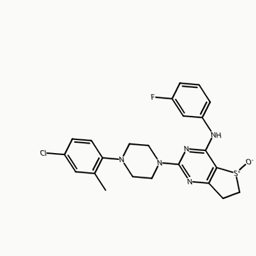 Cc1cc(Cl)ccc1N1CCN(c2nc3c(c(Nc4cccc(F)c4)n2)[S+]([O-])CC3)CC1